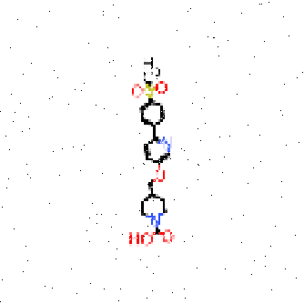 CS(=O)(=O)c1ccc(-c2ccc(OCC3CCN(C(=O)O)CC3)cn2)cc1